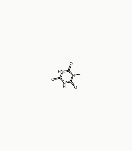 Cn1c(=O)[nH]c(=O)[nH]c1=O